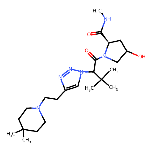 CNC(=O)[C@H]1CC(O)CN1C(=O)C(n1cc(CCN2CCC(C)(C)CC2)nn1)C(C)(C)C